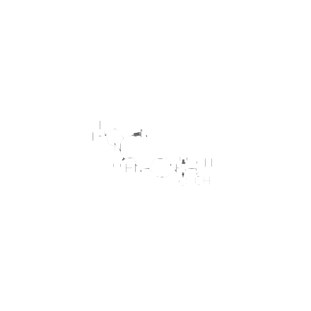 CC(C)S(=O)(=O)N1CCC(NCC(=O)N2CC(F)(F)C[C@H]2C#N)CC1